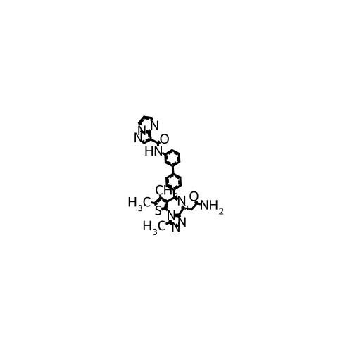 Cc1sc2c(c1C)C(c1ccc(-c3cccc(NC(=O)c4cnn5cccnc45)c3)cc1)=N[C@@H](CC(N)=O)c1nnc(C)n1-2